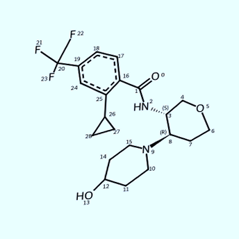 O=C(N[C@@H]1COCC[C@H]1N1CCC(O)CC1)c1ccc(C(F)(F)F)cc1C1CC1